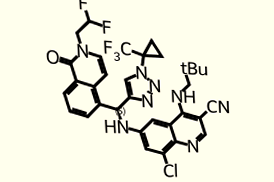 CC(C)(C)CNc1c(C#N)cnc2c(Cl)cc(N[C@H](c3cn(C4(C(F)(F)F)CC4)nn3)c3cccc4c(=O)n(CC(F)F)ccc34)cc12